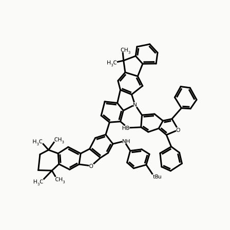 CC(C)(C)c1ccc(Nc2cc3oc4cc5c(cc4c3cc2-c2ccc3c4cc6c(cc4n4c3c2Bc2cc3c(-c7ccccc7)oc(-c7ccccc7)c3cc2-4)-c2ccccc2C6(C)C)C(C)(C)CCC5(C)C)cc1